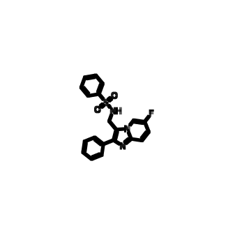 O=S(=O)(NCc1c(-c2ccccc2)nc2ccc(F)cn12)c1ccccc1